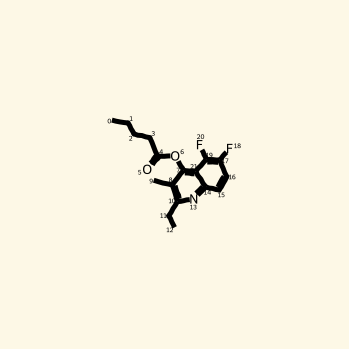 CCCCC(=O)Oc1c(C)c(CC)nc2ccc(F)c(F)c12